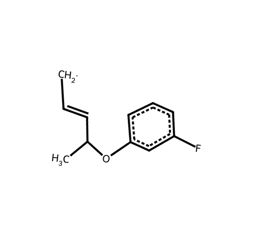 [CH2]C=CC(C)Oc1cccc(F)c1